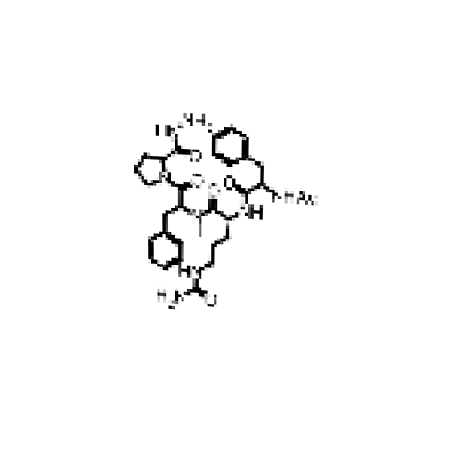 CC(=O)NC(Cc1ccccc1)C(=O)N[C@@H](CCCNC(N)=O)C(=O)NC(Cc1ccccc1)C(=O)N1CCCC1C(=O)NN